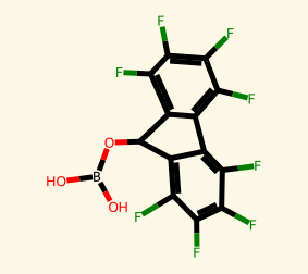 OB(O)OC1c2c(F)c(F)c(F)c(F)c2-c2c(F)c(F)c(F)c(F)c21